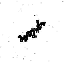 CC(C)Oc1ccc(C(=O)NC(CCO)Cc2ccc(-c3cn(C)c(C(=O)C4CC4)n3)cc2)cc1C#N